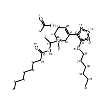 CC(=O)[O-].CCCCCCCC(=O)OC(C)[N+]1(C)CCC=C(c2nsnc2OCCCCCC)C1